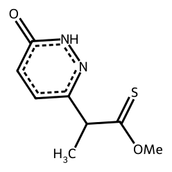 COC(=S)C(C)c1ccc(=O)[nH]n1